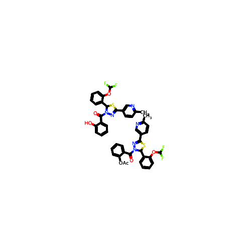 CC(=O)Oc1ccccc1C(=O)N1N=C(c2ccc(C)nc2)SC1c1ccccc1OC(F)F.Cc1ccc(C2=NN(C(=O)c3ccccc3O)C(c3ccccc3OC(F)F)S2)cn1